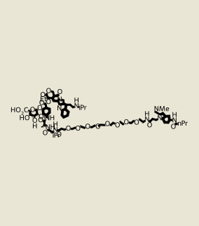 CCCC(=O)Nc1ccc2c(c1)cc(CNC)n2CCC(=O)NCCOCCOCCOCCOCCOCCOCCOCCOCCC(=O)N[C@H](C(=O)N[C@@H](C)C(=O)Nc1ccc(C(=O)O[C@]2(CC)C(=O)OCc3c2cc2n(c3=O)Cc3c-2nc2ccccc2c3CCNC(C)C)c(O[C@@H]2O[C@H](C(=O)O)[C@@H](O)[C@H](O)[C@H]2O)c1)C(C)C